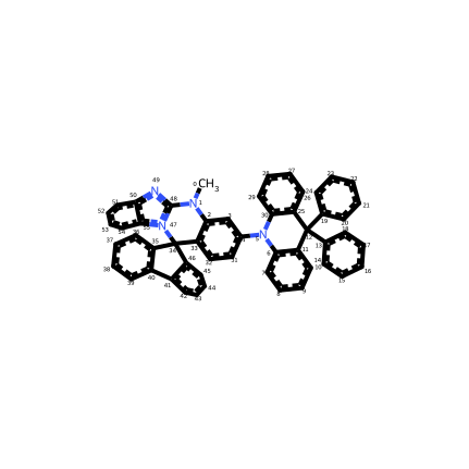 CN1c2cc(N3c4ccccc4C(c4ccccc4)(c4ccccc4)c4ccccc43)ccc2C2(c3ccccc3-c3ccccc32)n2c1nc1ccccc12